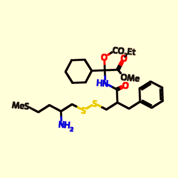 CCOC(=O)OC(NC(=O)C(CSSCC(N)CCSC)Cc1ccccc1)(C(=O)OC)C1CCCCC1